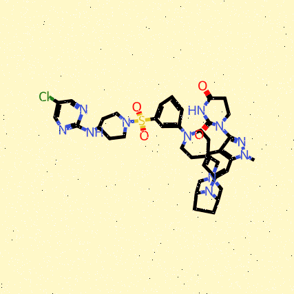 Cn1nc(N2CCC(=O)NC2=O)c2ccc(N3C4CCC3CN(CC3CCN(c5cccc(S(=O)(=O)N6CCC(Nc7ncc(Cl)cn7)CC6)c5)CC3)C4)cc21